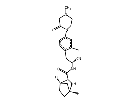 CN1CCN(c2ccc(C[C@@H](C#N)NC(=O)[C@H]3N[C@@H]4CC[C@H]3C4)c(F)c2)C(=O)C1